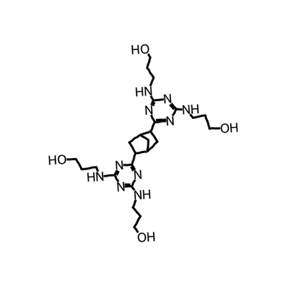 OCCCNc1nc(NCCCO)nc(C2CC3CC2CC3c2nc(NCCCO)nc(NCCCO)n2)n1